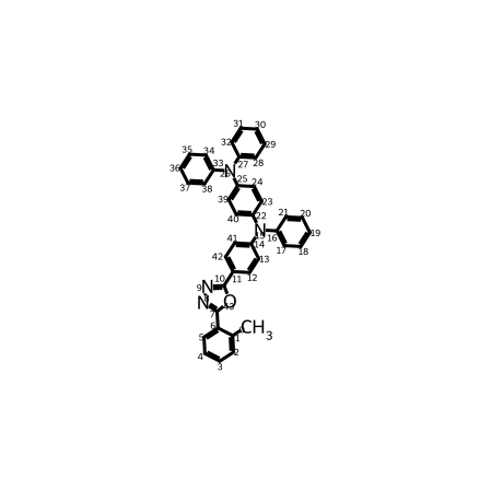 Cc1ccccc1-c1nnc(-c2ccc(N(c3ccccc3)c3ccc(N(c4ccccc4)c4ccccc4)cc3)cc2)o1